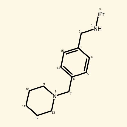 CC(C)NCc1ccc(CN2CCCCC2)cc1